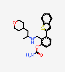 CC(CC1CCOCC1)NCc1c(OC(N)=O)cccc1-c1cc2ccccc2s1